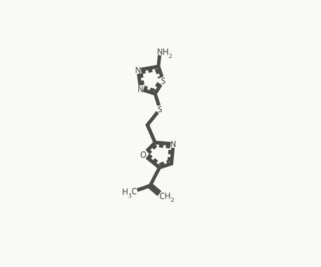 C=C(C)c1cnc(CSc2nnc(N)s2)o1